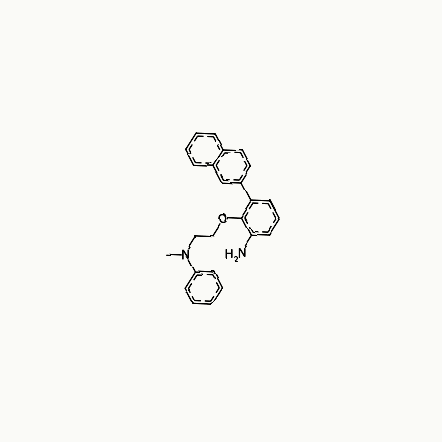 CN(CCOc1c(N)cccc1-c1ccc2ccccc2c1)c1ccccc1